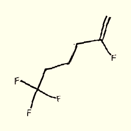 C=C(F)[CH]CCC(F)(F)F